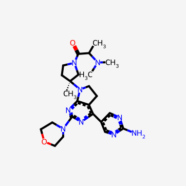 CC(C(=O)N1CC[C@](C)(N2CCc3c(-c4cnc(N)nc4)nc(N4CCOCC4)nc32)C1)N(C)C